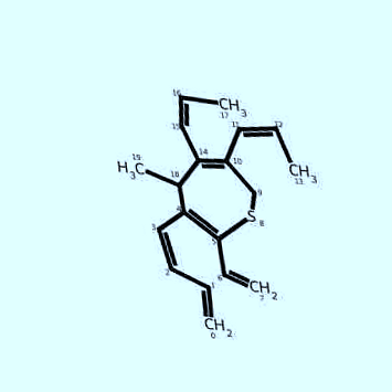 C=C/C=C\C1=C(C=C)SCC(/C=C\C)=C(/C=C\C)C1C